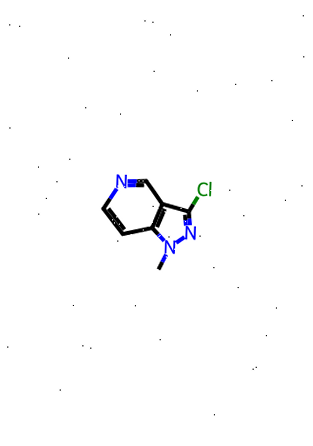 Cn1nc(Cl)c2cnccc21